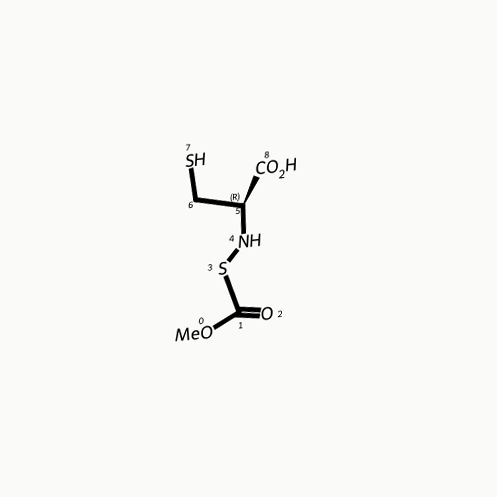 COC(=O)SN[C@@H](CS)C(=O)O